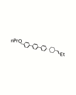 CC/C=C/[C@H]1CC[C@H](c2ccc(-c3ccc(-c4ccc(COCCC)cc4)cc3)cc2)CC1